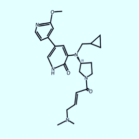 COc1cc(-c2c[nH]c(=O)c(N(CC3CC3)[C@H]3CCN(C(=O)C=CCN(C)C)C3)c2)ccn1